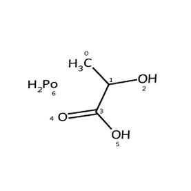 CC(O)C(=O)O.[PoH2]